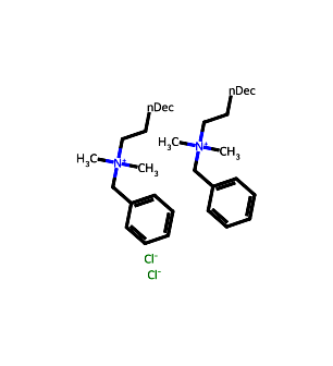 CCCCCCCCCCCC[N+](C)(C)Cc1ccccc1.CCCCCCCCCCCC[N+](C)(C)Cc1ccccc1.[Cl-].[Cl-]